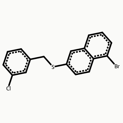 Clc1cccc(CSc2ccc3c(Br)cccc3c2)c1